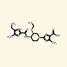 CCO[C@H]1CN(c2nc(C(=O)O)c(C)s2)CC[C@H]1NC(=O)c1nc(C)c(CC)[nH]1